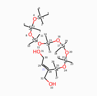 C[Si](C)(C)O[Si](C)(C)O[Si](C)(C)O[Si](C)(C)O[Si](C)(C)O[Si](C)(C)O[Si](C)(C)/C(=C\CO)CO